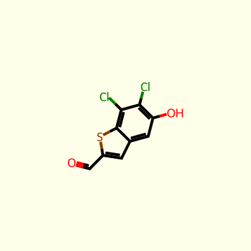 O=Cc1cc2cc(O)c(Cl)c(Cl)c2s1